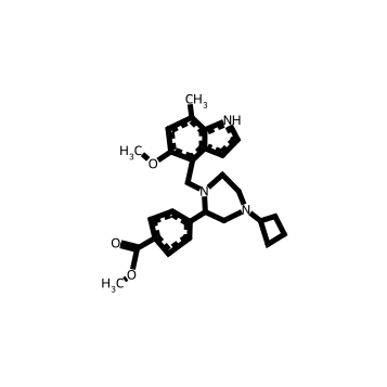 COC(=O)c1ccc(C2CN(C3CCC3)CCN2Cc2c(OC)cc(C)c3[nH]ccc23)cc1